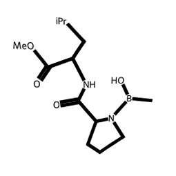 COC(=O)C(CC(C)C)NC(=O)C1CCCN1B(C)O